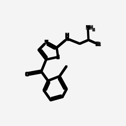 CCC(N)CNc1ncc(C(=O)c2ccccc2C)s1